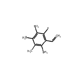 Bc1c(B)c(F)c(C=C)c(B)c1C